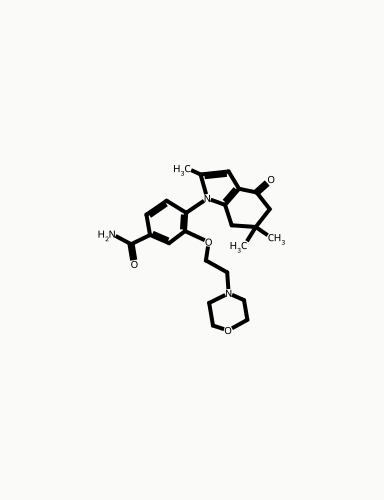 Cc1cc2c(n1-c1ccc(C(N)=O)cc1OCCN1CCOCC1)CC(C)(C)CC2=O